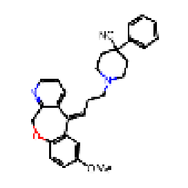 COc1ccc2c(c1)/C(=C/CCN1CCC(C#N)(c3ccccc3)CC1)c1cccnc1CO2